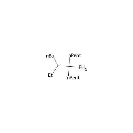 CCCCCC(P)(CCCCC)C(CC)CCCC